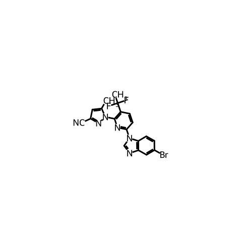 Cc1cc(C#N)nn1-c1nc(-n2cnc3cc(Br)ccc32)ccc1C(C)(F)F